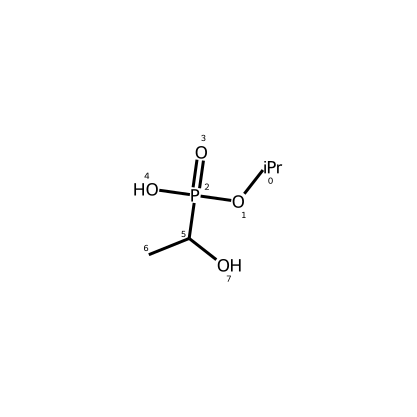 CC(C)OP(=O)(O)C(C)O